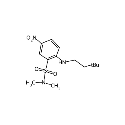 CN(C)S(=O)(=O)c1cc([N+](=O)[O-])ccc1NCCC(C)(C)C